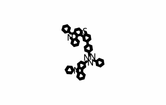 c1ccc(-c2nc(-c3ccc(-c4ccc5sc6ccc7c(-c8ccccc8)nc8ccccc8c7c6c5c4)cc3)nc(-c3ccc4c(c3)c3ccccc3n4-c3ccccc3)n2)cc1